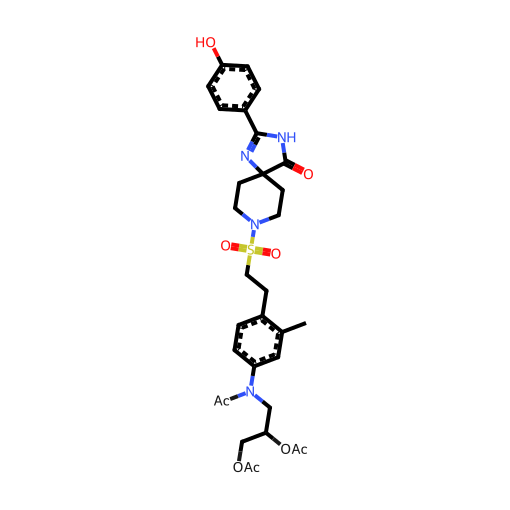 CC(=O)OCC(CN(C(C)=O)c1ccc(CCS(=O)(=O)N2CCC3(CC2)N=C(c2ccc(O)cc2)NC3=O)c(C)c1)OC(C)=O